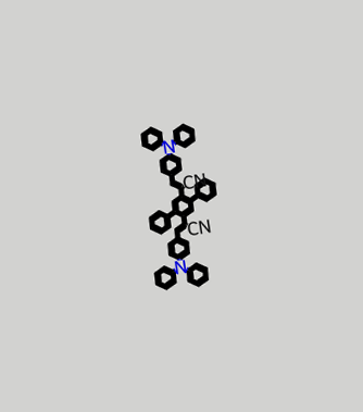 N#CC(=Cc1ccc(N(c2ccccc2)c2ccccc2)cc1)c1cc(-c2ccccc2)c(C(C#N)=Cc2ccc(N(c3ccccc3)c3ccccc3)cc2)cc1-c1ccccc1